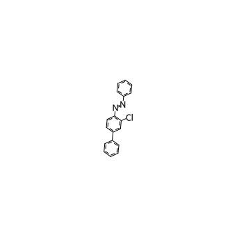 Clc1cc(-c2ccccc2)ccc1N=Nc1ccccc1